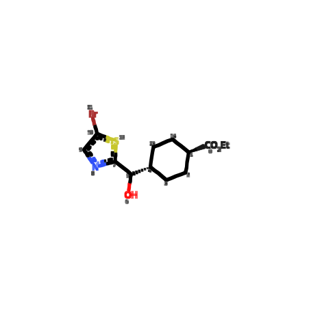 CCOC(=O)[C@H]1CC[C@H](C(O)c2ncc(Br)s2)CC1